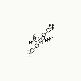 [C-]#[N+]/N=C1\c2cc(-c3ccc(C(F)(F)F)cc3)ccc2-c2nc3c(nc21)-c1ccc(-c2ccc(C(F)(F)F)cc2)cc1/C3=C(\C#N)[N+]#[C-]